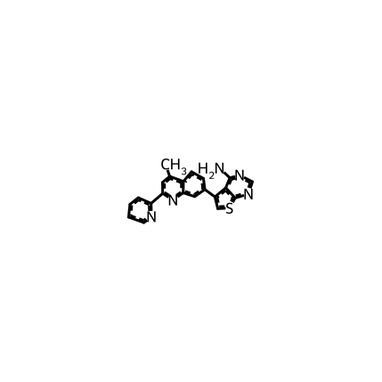 Cc1cc(-c2ccccn2)nc2cc(-c3csc4ncnc(N)c34)ccc12